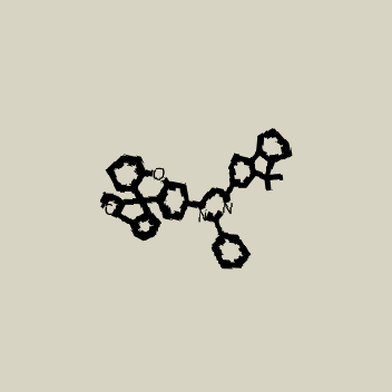 CC1(C)c2ccccc2-c2ccc(-c3cc(-c4ccc5c(c4)Oc4ccccc4C54c5ccccc5-c5ccccc54)nc(-c4ccccc4)n3)cc21